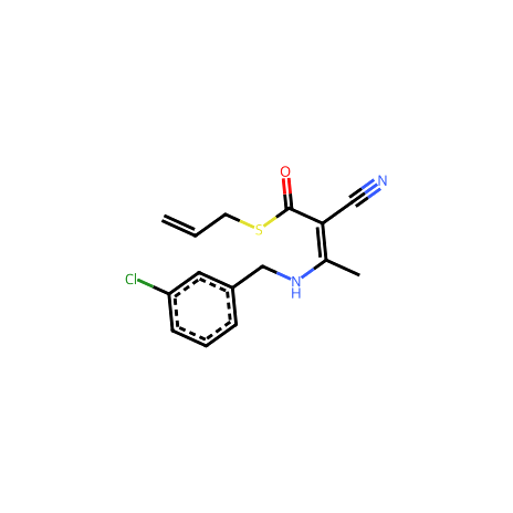 C=CCSC(=O)C(C#N)=C(C)NCc1cccc(Cl)c1